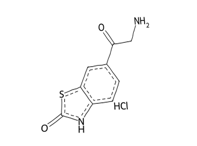 Cl.NCC(=O)c1ccc2[nH]c(=O)sc2c1